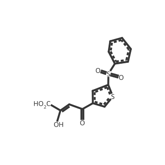 O=C(O)C(O)=CC(=O)c1csc(S(=O)(=O)c2ccccc2)c1